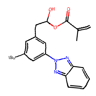 C=C(C)C(=O)OC(O)Cc1cc(-n2nc3ccccc3n2)cc(C(C)(C)C)c1